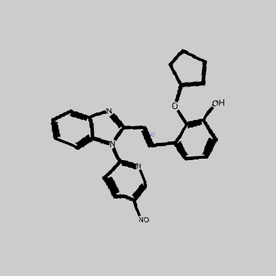 O=Nc1ccc(-n2c(/C=C/c3cccc(O)c3OC3CCCC3)nc3ccccc32)nc1